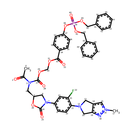 CC(=O)N(C[C@H]1CN(c2ccc(N3Cc4cn(C)nc4C3)c(F)c2)C(=O)O1)C(=O)OCOC(=O)c1ccc(OP(=O)(OCc2ccccc2)OCc2ccccc2)cc1